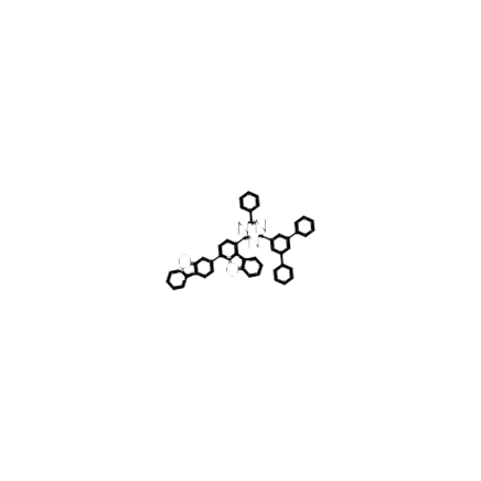 c1ccc(-c2cc(-c3ccccc3)cc(-c3nc(-c4ccccc4)nc(-c4ccc(-c5ccc6c(c5)oc5ccccc56)c5oc6ccccc6c45)n3)c2)cc1